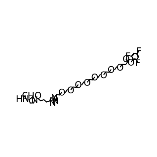 O=CN[C@H]1CCN(CCCCc2cn(CCOCCOCCOCCOCCOCCOCCOCCOCCC(=O)Oc3c(F)cc(F)cc3F)nn2)C1